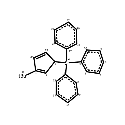 CC(C)(C)C1=C[C]([Si](c2ccccc2)(c2ccccc2)c2ccccc2)C=C1